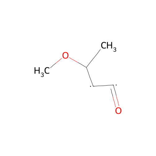 COC(C)[CH][C]=O